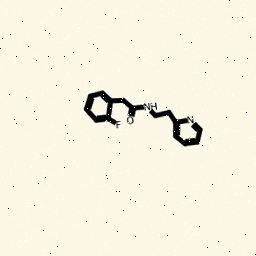 O=C(Cc1ccccc1F)NCCc1ccccn1